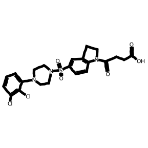 O=C(O)CCC(=O)N1CCc2cc(S(=O)(=O)N3CCN(c4cccc(Cl)c4Cl)CC3)ccc21